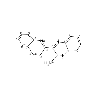 Nc1nc2ccccc2nc1-c1cnc2ccccc2n1